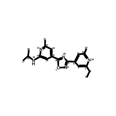 CCc1cc(-c2noc(-c3cc(C)nc(NC(C)C)c3)n2)cc(C)n1